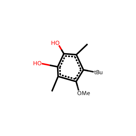 COc1c(C)c(O)c(O)c(C)c1C(C)(C)C